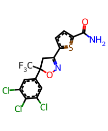 NC(=O)c1ccc(C2=NOC(c3cc(Cl)c(Cl)c(Cl)c3)(C(F)(F)F)C2)s1